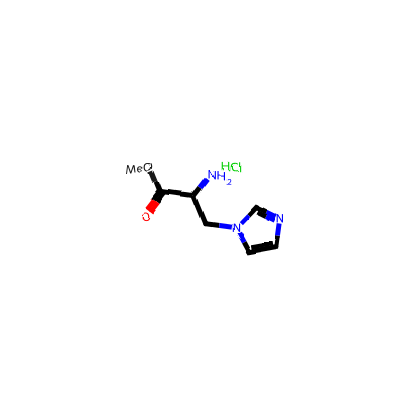 COC(=O)C(N)Cn1ccnc1.Cl